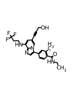 CCNC(=O)c1ccc(-c2cnc3c(NCCC(F)(F)F)cc(C#CCO)cn23)cc1C